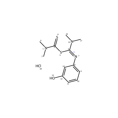 CN(C)C(=S)S/C(=N\c1cccc(O)c1)N(C)C.Cl